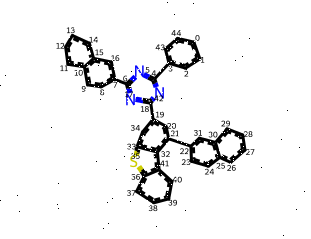 c1ccc(-c2nc(-c3ccc4ccccc4c3)nc(-c3cc(-c4ccc5ccccc5c4)c4c(c3)sc3ccccc34)n2)cc1